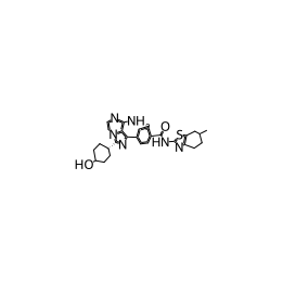 CC1CCc2nc(NC(=O)c3ccc(-c4nc([C@H]5CC[C@H](O)CC5)n5ccnc(N)c45)cc3)sc2C1